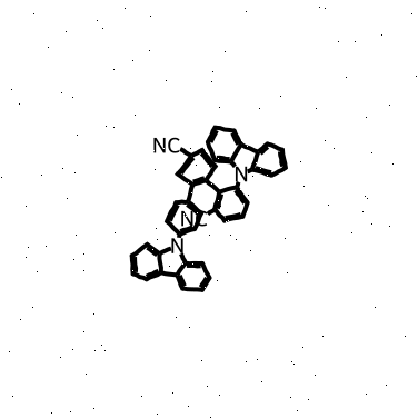 N#Cc1ccc(-c2c(C#N)cccc2-n2c3ccccc3c3ccccc32)c(-c2ccc(-n3c4ccccc4c4ccccc43)cc2)c1